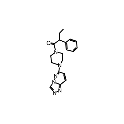 CCC(C(=O)N1CCN(c2ccc3nncn3n2)CC1)c1ccccc1